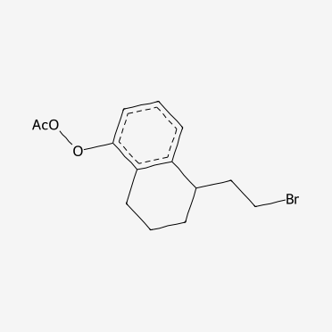 CC(=O)OOc1cccc2c1CCCC2CCBr